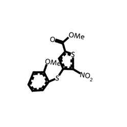 COC(=O)c1cc(Sc2ccccc2OC)c([N+](=O)[O-])s1